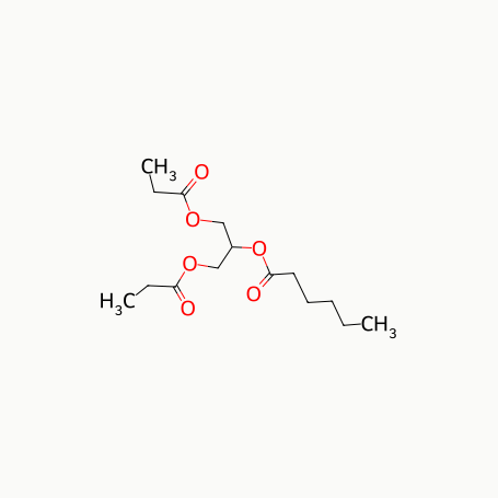 CCCCCC(=O)OC(COC(=O)CC)COC(=O)CC